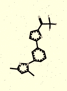 Cc1cc(C)n(-c2cccc(-c3ccc(C(=O)C(F)(F)F)s3)c2)n1